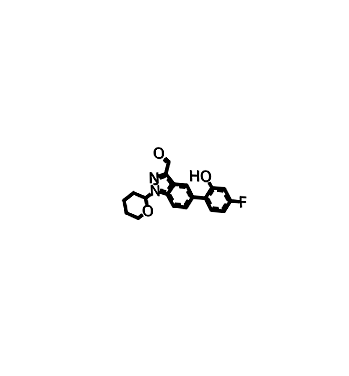 O=Cc1nn(C2CCCCO2)c2ccc(-c3ccc(F)cc3O)cc12